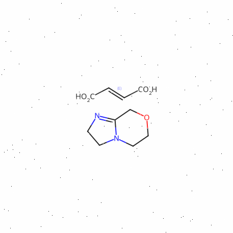 C1CN2CCOCC2=N1.O=C(O)/C=C/C(=O)O